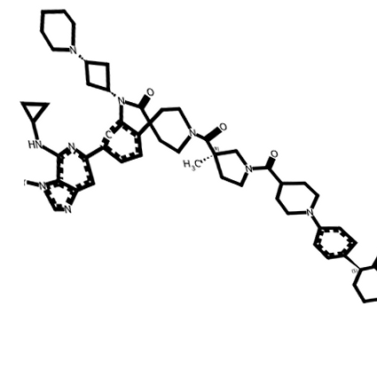 CC(C)n1cnc2cc(-c3ccc4c(c3)N([C@H]3C[C@@H](N5CCCCC5)C3)C(=O)C43CCN(C(=O)[C@]4(C)CCN(C(=O)C5CCN(c6ccc([C@@H]7CCC(=O)NC7=O)cc6)CC5)C4)CC3)nc(NC3CC3)c21